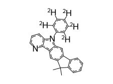 [2H]c1c([2H])c([2H])c(-n2c3cc4c(cc3c3ncccc32)C(C)(C)c2ccccc2-4)c([2H])c1[2H]